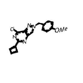 COc1ccc(Cn2cc3nc(C4=CC=C4)nc(Cl)c3n2)cc1